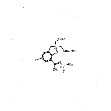 COC[C@]1(CN=[N+]=[N-])Cc2cc(F)cc(C(C)=N[S@+]([O-])C(C)(C)C)c2O1